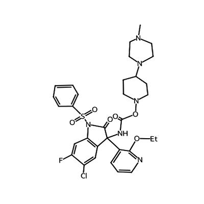 CCOc1ncccc1C1(NC(=O)ON2CCC(N3CCN(C)CC3)CC2)C(=O)N(S(=O)(=O)c2ccccc2)c2cc(F)c(Cl)cc21